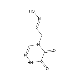 O=c1[nH]n[c]n(CC=NO)c1=O